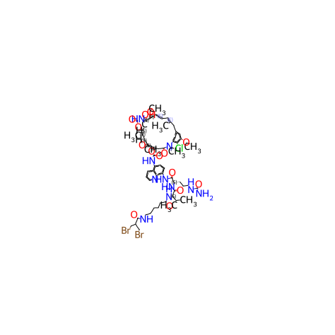 COc1cc2cc(c1Cl)N(C)C(=O)C[C@H](OC(=O)Nc1ccc(NC(=O)[C@H](CCCNC(N)=O)NC(=O)[C@@H](NC(=O)CCCCCNC(=O)C(CBr)CBr)C(C)C)c3ncccc13)[C@]1(C)O[C@H]1[C@H](C)[C@@H]1C[C@@](O)(NC(=O)O1)[C@H](OC)/C=C/C=C(\C)C2